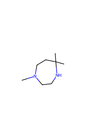 CN1CCNC(C)(C)CC1